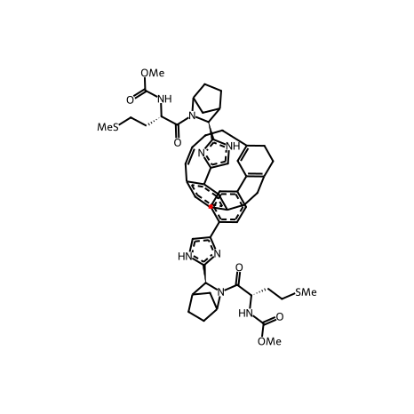 COC(=O)N[C@@H](CCSC)C(=O)N1C2CCC(C2)[C@H]1c1nc(-c2ccc(C3=C4CCC(=C3)CCC=Cc3ccc(cc3-c3c[nH]c([C@@H]5C6CCC(C6)N5C(=O)[C@H](CCSC)NC(=O)OC)n3)CC4)cc2)c[nH]1